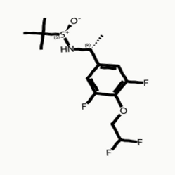 C[C@@H](N[S@+]([O-])C(C)(C)C)c1cc(F)c(OCC(F)F)c(F)c1